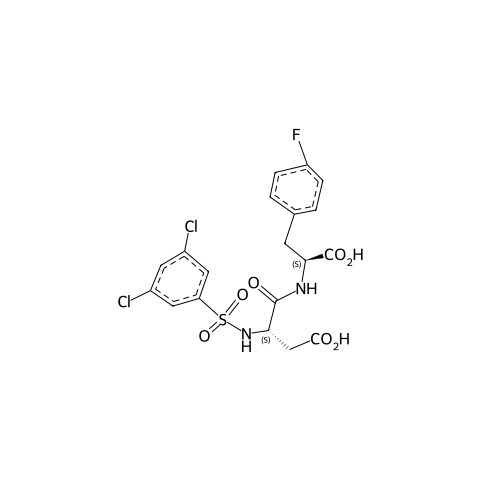 O=C(O)C[C@H](NS(=O)(=O)c1cc(Cl)cc(Cl)c1)C(=O)N[C@@H](Cc1ccc(F)cc1)C(=O)O